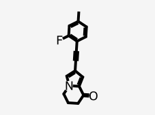 Cc1ccc(C#Cc2cc3n(c2)CCCC3=O)c(F)c1